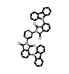 O=C1c2cccc(-n3c4ccccc4c4ccccc43)c2C(=O)N1C1=CC(N2C(=O)c3cccc(-n4c5ccccc5c5ccccc54)c3C2=O)CC=C1